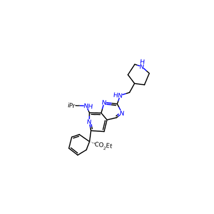 CCOC(=O)[C@@]1(c2cc3cnc(NCC4CCNCC4)nc3c(NC(C)C)n2)C=CC=CC1